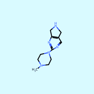 CN1CCN(c2ncc3c(n2)CNC3)CC1